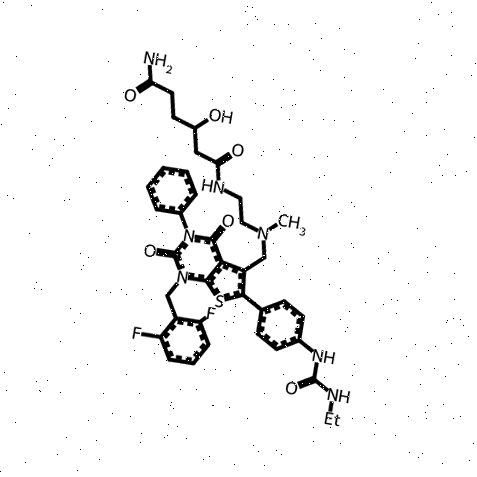 CCNC(=O)Nc1ccc(-c2sc3c(c2CN(C)CCNC(=O)CC(O)CCC(N)=O)c(=O)n(-c2ccccc2)c(=O)n3Cc2c(F)cccc2F)cc1